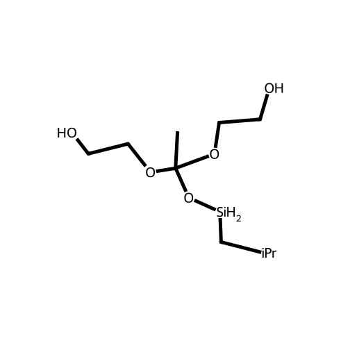 CC(C)C[SiH2]OC(C)(OCCO)OCCO